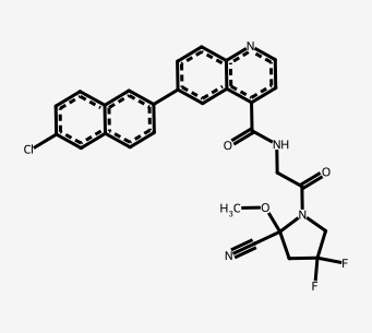 COC1(C#N)CC(F)(F)CN1C(=O)CNC(=O)c1ccnc2ccc(-c3ccc4cc(Cl)ccc4c3)cc12